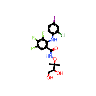 CC(C)(ONC(=O)c1cc(F)c(F)c(F)c1Nc1ccc(I)cc1Cl)C(O)CO